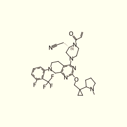 C=CC(=O)N1CCN(c2nc(OCC3(C4CCCN4C)CC3)nc3c2CCN(c2cccc(F)c2C(F)(F)F)C3)C[C@@H]1CC#N